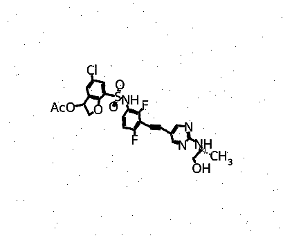 CC(=O)OC1COc2c1cc(Cl)cc2S(=O)(=O)Nc1ccc(F)c(C#Cc2cnc(N[C@H](C)CO)nc2)c1F